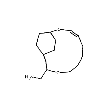 NCC1CCCCC/C=C\CC2CCC1CC2